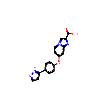 O=C(O)c1cn2ccc(Oc3ccc(-c4ccn[nH]4)cc3)cc2n1